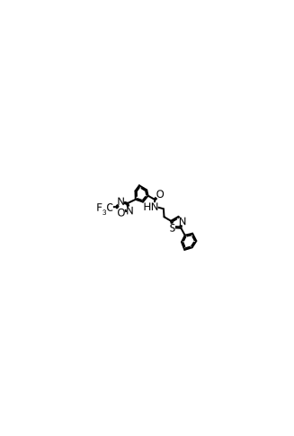 O=C(NCCc1cnc(-c2ccccc2)s1)c1cccc(-c2noc(C(F)(F)F)n2)c1